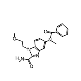 COCCn1c(C(N)=O)nc2cc(N(C)C(=O)c3ccccc3)ccc21